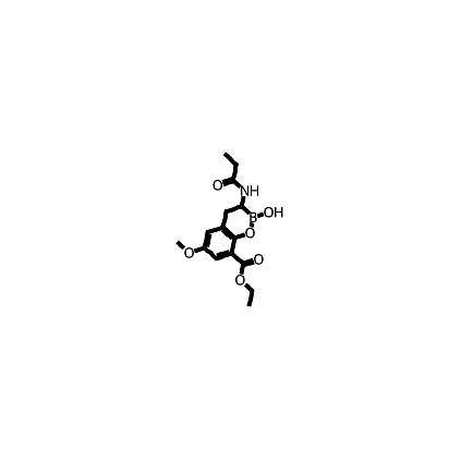 CCOC(=O)c1cc(OC)cc2c1OB(O)C(NC(=O)CC)C2